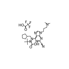 CN(C)CCCn1cnc2c(N(CC3CCCC3)N(C(=O)O)C(C)(C)C)nc(C#N)nc21.O=C(O)C(F)(F)F